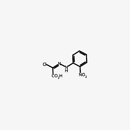 O=C(O)/C(Cl)=N\Nc1ccccc1[N+](=O)[O-]